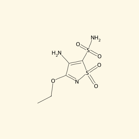 CCOC1=NS(=O)(=O)C(S(N)(=O)=O)=C1N